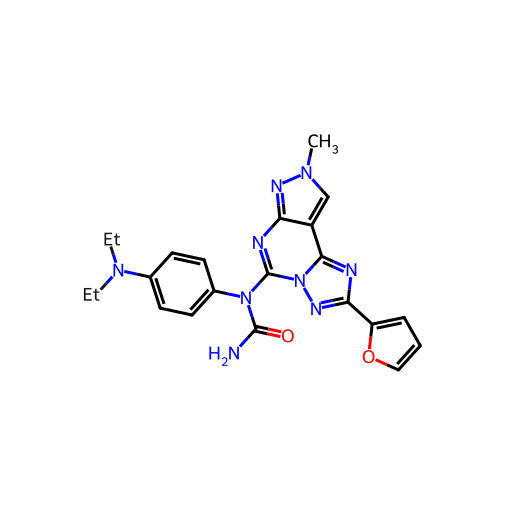 CCN(CC)c1ccc(N(C(N)=O)c2nc3nn(C)cc3c3nc(-c4ccco4)nn23)cc1